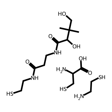 CC(C)(CO)C(O)C(=O)NCCC(=O)NCCS.NC(CS)C(=O)O.NCCS